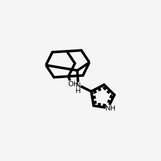 OC12CC3CC(C1)C(Nc1cc[nH]c1)C(C3)C2